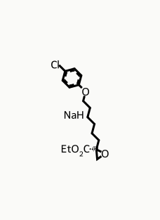 CCOC(=O)[C@@]1(CCCCCCOc2ccc(Cl)cc2)CO1.[NaH]